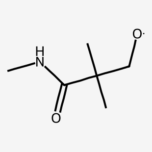 CNC(=O)C(C)(C)C[O]